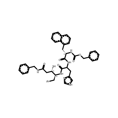 CC(C)C[C@H](NC(=O)C(Cc1c[nH]cn1)NC(=O)[C@H](Cc1cccc2ccccc12)NC(=O)OCc1ccccc1)[C@@H](S)CC(=O)NCc1ccccc1